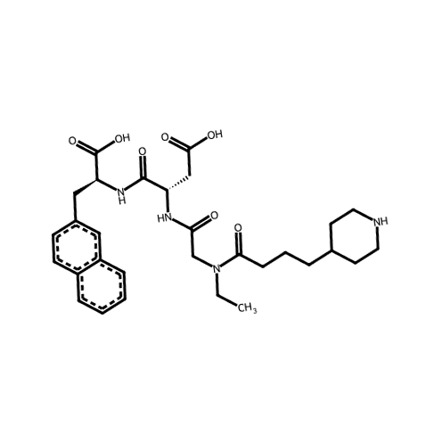 CCN(CC(=O)N[C@@H](CC(=O)O)C(=O)N[C@@H](Cc1ccc2ccccc2c1)C(=O)O)C(=O)CCCC1CCNCC1